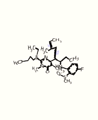 C/C=C(C)\C=C(/c1nc(N(CC)CCCO)n(C)c(=O)c1C)C(CC)Nc1ccc(F)cc1[S+](C)[O-]